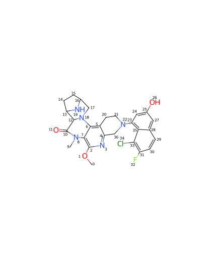 COc1nc2c(c3c1N(C)C(=O)C1C4CCC(CN31)N4)CCN(c1cc(O)cc3ccc(F)c(Cl)c13)C2